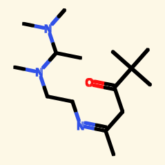 CC(CC(=O)C(C)(C)C)=NCCN(C)C(C)N(C)C